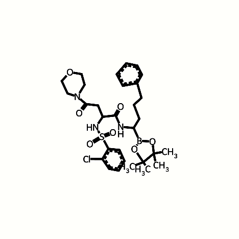 CC1(C)OB(C(CCCc2ccccc2)NC(=O)C(CC(=O)N2CCOCC2)NS(=O)(=O)c2ccccc2Cl)OC1(C)C